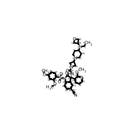 CCN(C1CCN(C2CN(C(=O)N[C@@]3(c4cccnc4OC)C(=O)N(S(=O)(=O)c4ccc(OC)cc4OC)c4ccc(C#N)cc43)C2)CC1)C1COC1